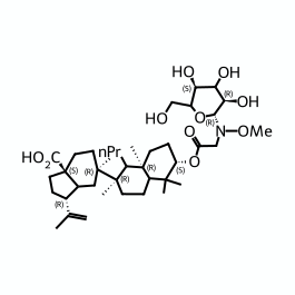 C=C(C)[C@@H]1CC[C@]2(C(=O)O)CC[C@@](C)([C@]3(C)CCC4C(C)(C)[C@@H](OC(=O)CN(OC)[C@@H]5OC(CO)[C@@H](O)C(O)[C@H]5O)CC[C@]4(C)C3CCC)CC12